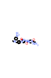 CCN(Cc1ccc(-n2ccc(NC(=O)N3CCN(C(=O)C(C)N)CC3)nc2=O)cc1)C1CCC(N)CC1